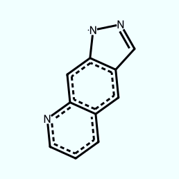 C1=N[N]c2cc3ncccc3cc21